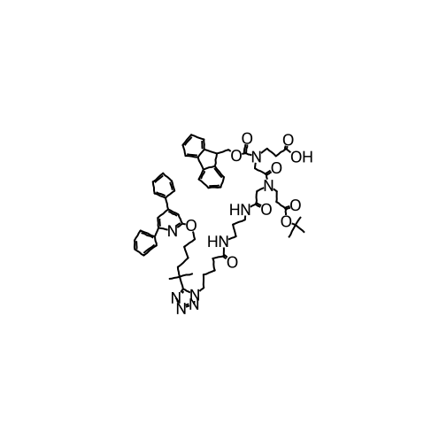 CC(C)(C)OC(=O)CCN(CC(=O)NCCCNC(=O)CCCCn1nnnc1C(C)(C)CCCCOc1cc(-c2ccccc2)cc(-c2ccccc2)n1)C(=O)CN(CCC(=O)O)C(=O)OCC1c2ccccc2-c2ccccc21